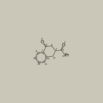 CC(C)C(=O)C1CC(=O)c2ccccc2C1